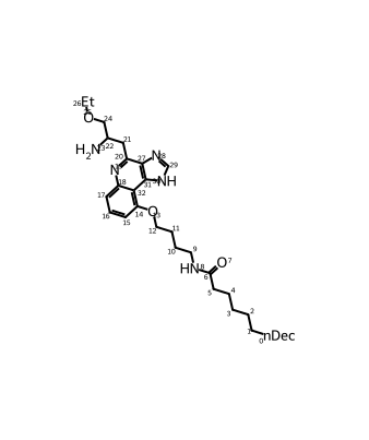 CCCCCCCCCCCCCCCC(=O)NCCCCOc1cccc2nc(CC(N)COCC)c3nc[nH]c3c12